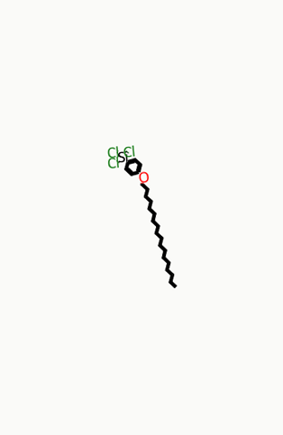 CCCCCCCCCCCCCCCCCCOc1ccc([Si](Cl)(Cl)Cl)cc1